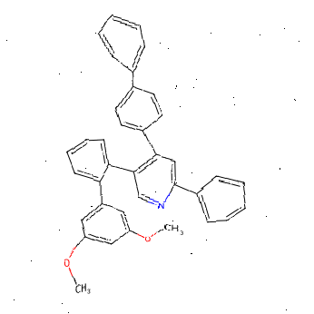 COc1cc(OC)cc(-c2ccccc2-c2cnc(-c3ccccc3)cc2-c2ccc(-c3ccccc3)cc2)c1